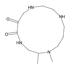 CC1CNC(=O)C(=O)CNCCNCCCN1C